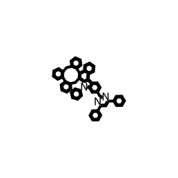 c1ccc(-c2cc(-c3ccccc3)nc(-c3ccc4c5c6ccccc6c6c(c5n(-c5ccccc5)c4c3)Cc3ccccc3-c3ccccc3Cc3ccccc3-6)n2)cc1